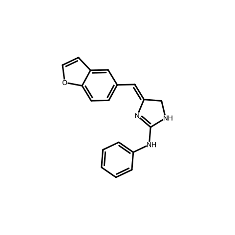 C(=C1\CNC(Nc2ccccc2)=N1)/c1ccc2occc2c1